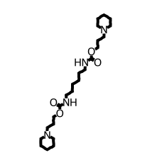 O=C(NCCCCCCNC(=O)OCCCN1CCCCC1)OCCCN1CCCCC1